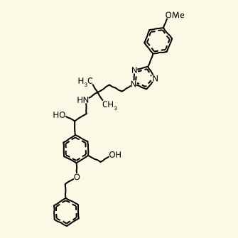 COc1ccc(-c2ncn(CCC(C)(C)NCC(O)c3ccc(OCc4ccccc4)c(CO)c3)n2)cc1